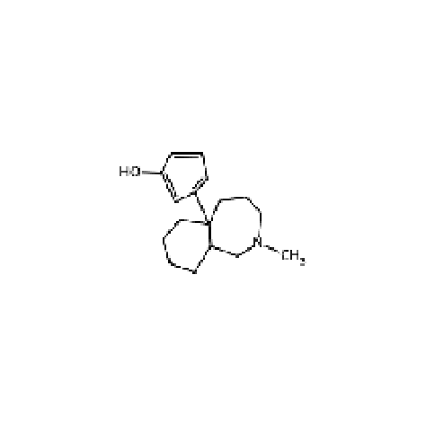 CN1CCCC2(c3cccc(O)c3)CCCCC2C1